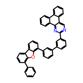 c1ccc(-c2cccc3c2oc2c(-c4cccc(-c5cccc(-c6ncc7c8ccccc8c8ccccc8c7n6)c5)c4)cccc23)cc1